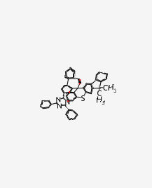 CC1(C)c2ccccc2-c2cc3c(cc21)Sc1ccccc1C31c2ccccc2-c2ccccc2-c2ccc(-c3nc(-c4ccccc4)nc(-c4ccccc4)n3)cc21